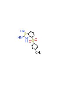 Cc1ccc(S(=O)(=O)c2cccc3c2NC(=N)S3=N)cc1